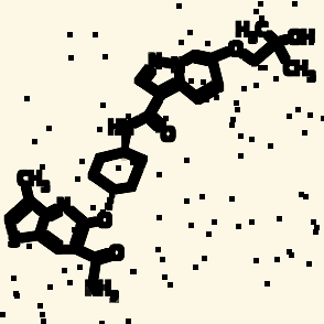 Cc1csc2cc(C(N)=O)c(O[C@H]3CC[C@H](NC(=O)c4cnn5cc(OCC(C)(C)O)ccc45)CC3)nc12